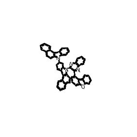 c1ccc2c(c1)ccc1c2c2ccccc2n1-c1ccc2c3c4ccccc4ccc3n(-c3nc4ccccc4nc3-c3cccc4oc5ccccc5c34)c2c1